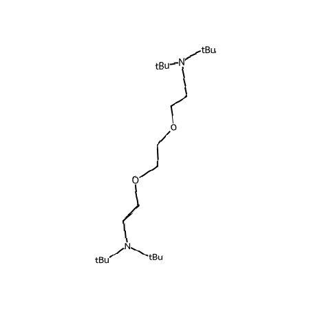 CC(C)(C)N(CCOCCOCCN(C(C)(C)C)C(C)(C)C)C(C)(C)C